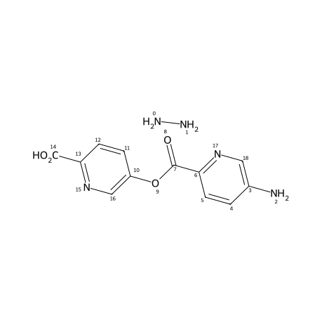 NN.Nc1ccc(C(=O)Oc2ccc(C(=O)O)nc2)nc1